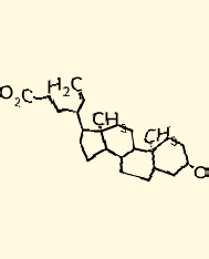 C=C[C@H](CCC(=O)O)C1CCC2C3CCC4C[C@H](O)CC[C@]4(C)C3CC[C@@]21C